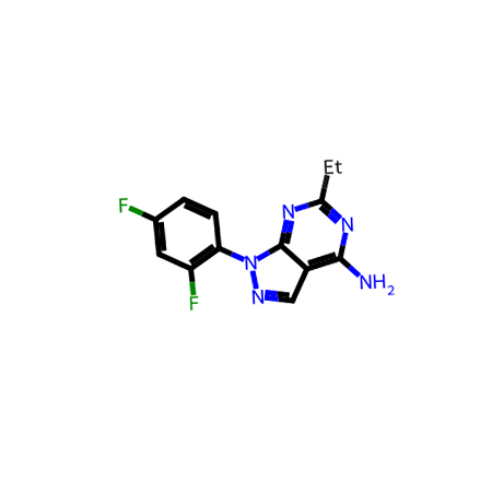 CCc1nc(N)c2cnn(-c3ccc(F)cc3F)c2n1